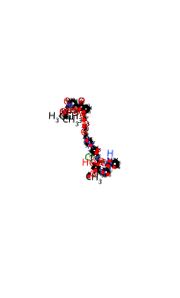 CCOc1cc(O)c(C(=O)/C=C/c2ccc(N3CCN(CCOCCOCCOc4cccc5c4C(=O)C(C4CCC(=O)N(COC(=O)C(C)(C)C)C4=O)C5=O)CC3)cc2Cl)cc1CN1CCCC(n2c(=O)[nH]c3ccccc32)C1